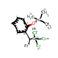 CCC(c1ccccc1O[Si](C)(C)C)[Si](Cl)(Cl)Cl